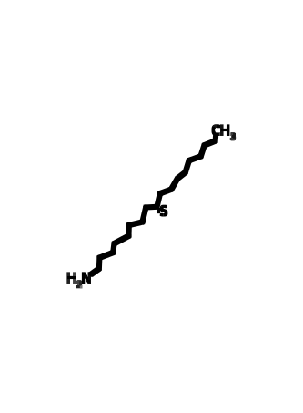 CCCCCCCCCCCCCCCCCCN.[S]